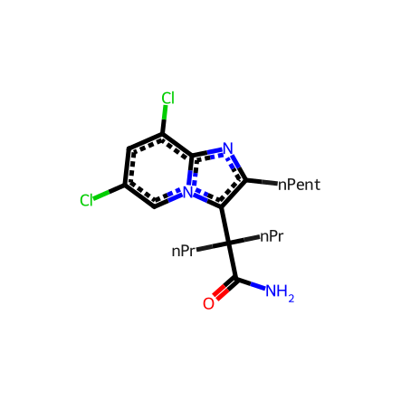 CCCCCc1nc2c(Cl)cc(Cl)cn2c1C(CCC)(CCC)C(N)=O